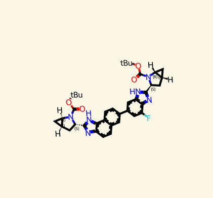 CC(C)(C)OC(=O)N1[C@@H]2C[C@@H]2C[C@H]1c1nc2c(F)cc(-c3ccc4c(ccc5nc([C@@H]6C[C@H]7C[C@H]7N6C(=O)OC(C)(C)C)[nH]c54)c3)cc2[nH]1